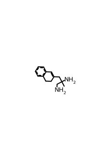 CC(N)(CN)CC1=Cc2ccccc2CC1